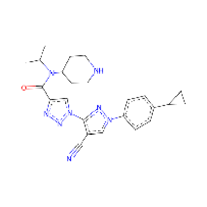 CC(C)N(C(=O)c1cn(-c2nn(-c3ccc(C4CC4)cc3)cc2C#N)nn1)C1CCNCC1